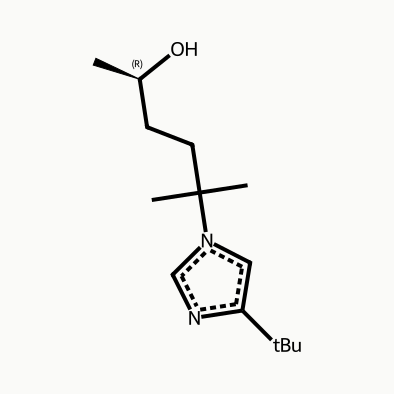 C[C@@H](O)CCC(C)(C)n1cnc(C(C)(C)C)c1